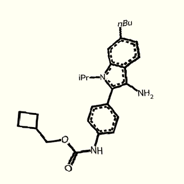 CCCCc1ccc2c(N)c(-c3ccc(NC(=O)OCC4CCC4)cc3)n(C(C)C)c2c1